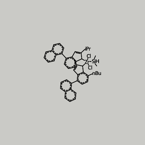 CCCCc1ccc(-c2cccc3ccccc23)c2c1[CH]([Zr]([Cl])([Cl])([CH]1C(C(C)C)=Cc3c(-c4cccc5ccccc45)cccc31)[SiH](C)C)C(C)=C2